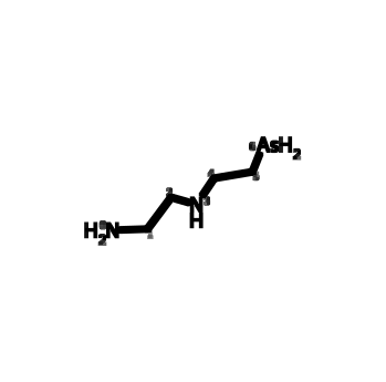 NCCNCC[AsH2]